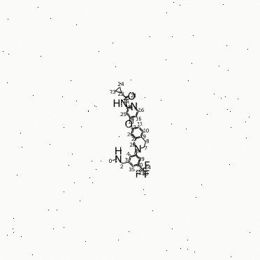 CNCc1cc(N2CCc3ccc(Oc4ccnc(NC(=O)C5CC5)c4)cc3C2)cc(C(F)(F)F)c1